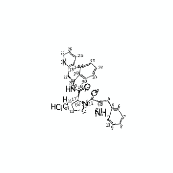 Cl.Cl.N[C@@H](Cc1ccccc1)C(=O)N1CCC[C@H]1C(=O)N[C@@H](Cc1ccccn1)c1ccccc1